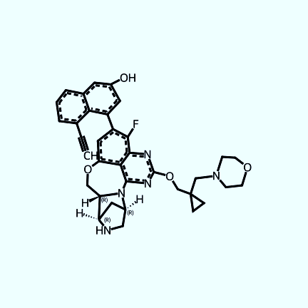 C#Cc1cccc2cc(O)cc(-c3cc4c5c(nc(OCC6(CN7CCOCC7)CC6)nc5c3F)N3[C@H]5CN[C@H](C5)[C@@H]3CO4)c12